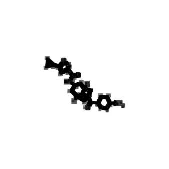 N[C@H]1CC[C@@H](C(=O)C23C[C@H]4C[C@H](NC(=O)c5cc(C6CC6)on5)C[C@@H](C2)C43)CC1